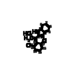 CN(c1nc2ccccc2[nH]1)c1c(Cl)cccc1Cl.Cl